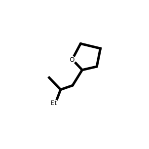 CCC(C)CC1CCCO1